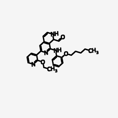 CCCCCOc1ccccc1Nc1nc(-c2cccnc2OCC)cc2c1C(C=O)NC=C2